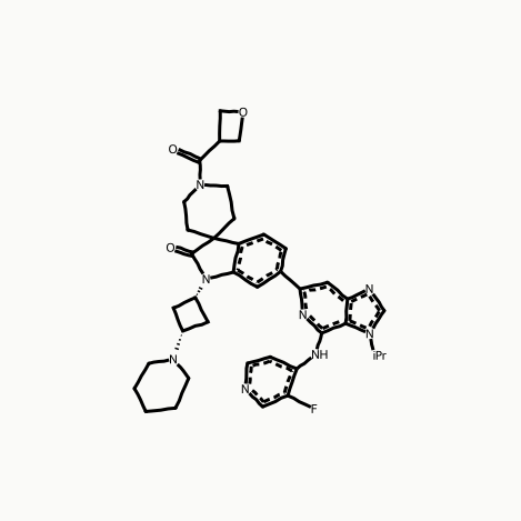 CC(C)n1cnc2cc(-c3ccc4c(c3)N([C@H]3C[C@@H](N5CCCCC5)C3)C(=O)C43CCN(C(=O)C4COC4)CC3)nc(Nc3ccncc3F)c21